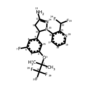 CC(C)(Oc1cc(F)cc(C2CC(N)=NN2c2cccnc2C(F)F)c1)C(F)(F)F